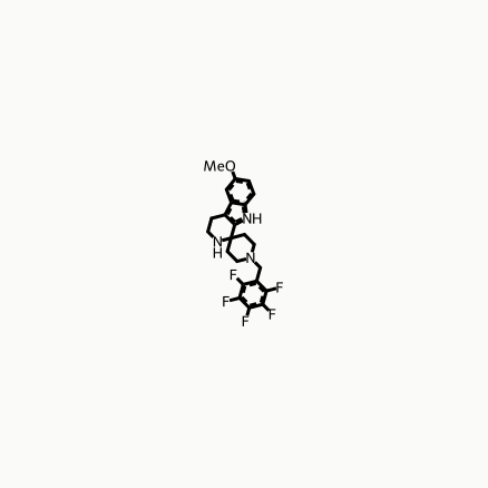 COc1ccc2[nH]c3c(c2c1)CCNC31CCN(Cc2c(F)c(F)c(F)c(F)c2F)CC1